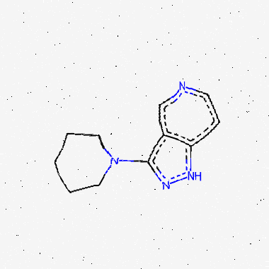 c1cc2[nH]nc(N3CCCCC3)c2cn1